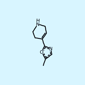 Cc1cnc(C2=CCNCC2)o1